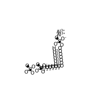 O.O.O.O.O.O.O.O.O.O.O.O.O=S(=O)([O-])[O-].O=S(=O)([O-])[O-].O=S(=O)([O-])[O-].[Al+3].[Al+3]